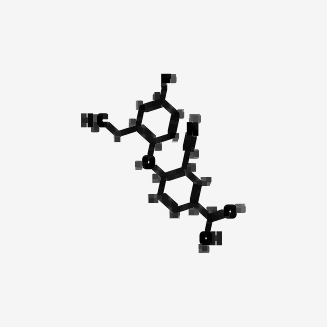 CCc1cc(F)ccc1Oc1ccc(C(=O)O)cc1C#N